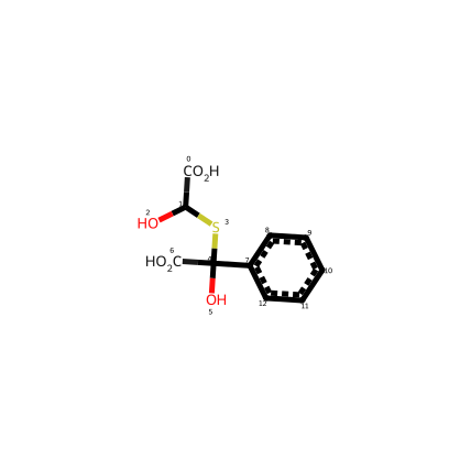 O=C(O)C(O)SC(O)(C(=O)O)c1ccccc1